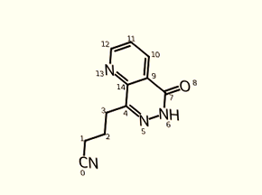 N#CCCCc1n[nH]c(=O)c2cccnc12